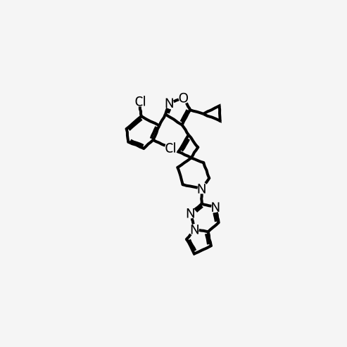 Clc1cccc(Cl)c1-c1noc(C2CC2)c1C1=CC2(CCN(c3ncc4cccn4n3)CC2)C1